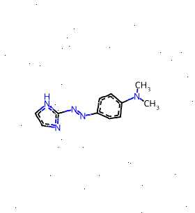 CN(C)c1ccc(N=Nc2ncc[nH]2)cc1